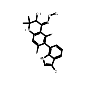 CCO/N=C1/c2c(cc(F)c(-c3cccc4c(Cl)c[nH]c34)c2F)NC(C)(C)C1O